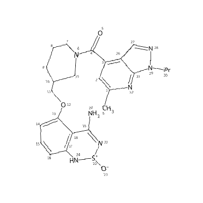 Cc1cc(C(=O)N2CCCC(COc3cccc4c3C(N)=N[S+]([O-])N4)C2)c2cnn(C(C)C)c2n1